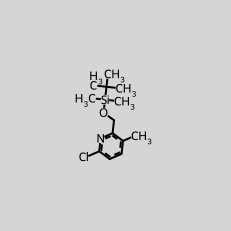 Cc1ccc(Cl)nc1CO[Si](C)(C)C(C)(C)C